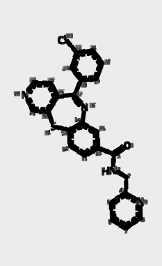 O=C(NCc1ccccn1)c1ccc2c(c1)N=C(c1cccc(Cl)c1)c1ccncc1S2